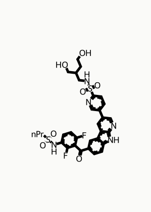 CCCS(=O)(=O)Nc1ccc(F)c(C(=O)c2ccc3[nH]c4ncc(-c5ccc(S(=O)(=O)NCC(CO)CCO)nc5)cc4c3c2)c1F